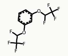 FC(Oc1cccc(OC(F)C(F)(F)F)c1)C(F)(F)F